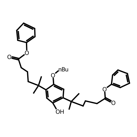 CCCCOc1cc(C(C)(C)CCCC(=O)Oc2ccccc2)c(O)cc1C(C)(C)CCCC(=O)Oc1ccccc1